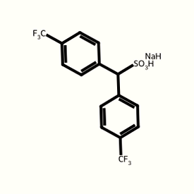 O=S(=O)(O)C(c1ccc(C(F)(F)F)cc1)c1ccc(C(F)(F)F)cc1.[NaH]